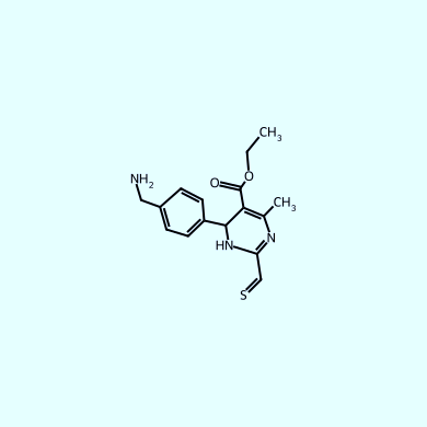 CCOC(=O)C1=C(C)N=C(C=S)NC1c1ccc(CN)cc1